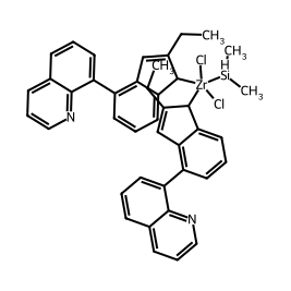 CCC1=Cc2c(-c3cccc4cccnc34)cccc2[CH]1[Zr]([Cl])([Cl])([CH]1C(CC)=Cc2c(-c3cccc4cccnc34)cccc21)[SiH](C)C